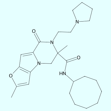 Cc1cc2c(cc3n2CC(C)(C(=O)NC2CCCCCCC2)N(CCN2CCCC2)C3=O)o1